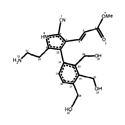 COC(=O)/C=C/c1c(C#N)[nH]c(CCN)c1-c1ccc(CO)c(CO)c1CO